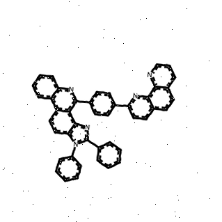 c1ccc(-c2nc3c4c(-c5ccc(-c6ccc7ccc8cccnc8c7n6)cc5)nc5ccccc5c4ccc3n2-c2ccccc2)cc1